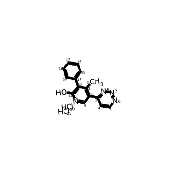 Cc1c(-c2ccnnn2)cnc(O)c1-c1ccccc1.Cl.Cl